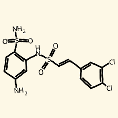 Nc1ccc(S(N)(=O)=O)c(NS(=O)(=O)/C=C/c2ccc(Cl)c(Cl)c2)c1